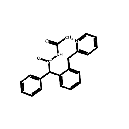 CC(=O)N[S+]([O-])C(c1ccccc1)c1ccccc1Cc1ccccn1